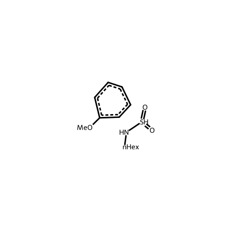 CCCCCCN[SH](=O)=O.COc1ccccc1